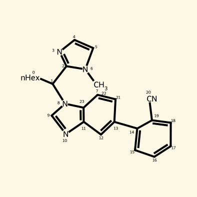 CCCCCCC(c1nccn1C)n1cnc2cc(-c3ccccc3C#N)ccc21